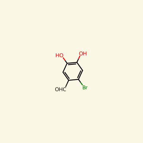 O=Cc1cc(O)c(O)cc1Br